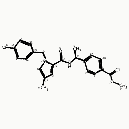 COC(=O)c1ccc([C@H](C)NC(=O)c2cc(C)cn2Cc2ccc(Cl)cc2)cc1